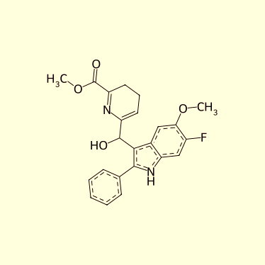 COC(=O)C1=NC(C(O)c2c(-c3ccccc3)[nH]c3cc(F)c(OC)cc23)=CCC1